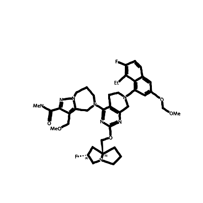 CCc1c(F)ccc2cc(OCOC)cc(N3CCc4c(nc(OC[C@@]56CCCN5C[C@H](F)C6)nc4N4CCCn5nc(C(=O)NC)c(COC)c5C4)C3)c12